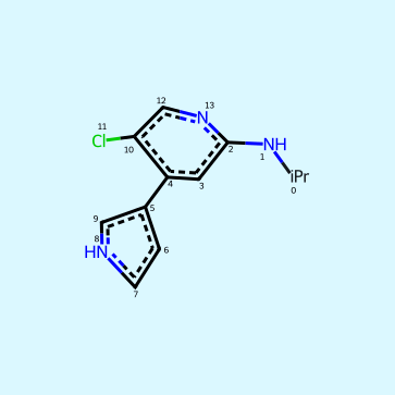 CC(C)Nc1cc(-c2cc[nH]c2)c(Cl)cn1